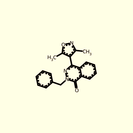 Cc1noc(C)c1-c1nn(Cc2ccccc2)c(=O)c2ccccc12